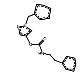 O=C(NCCc1ccccc1)Oc1cnn(Cc2ccccc2)c1